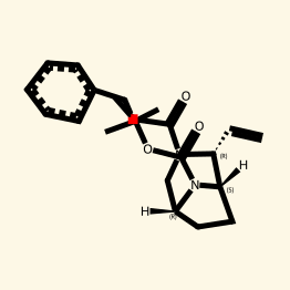 C=C[C@@H]1[C@@H]2CC[C@H](CN1C(=O)OCc1ccccc1)N2C(=O)OC(C)(C)C